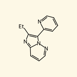 CCc1nc2cccnn2c1-c1ccccn1